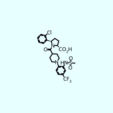 CS(=O)(=O)Nc1cc(C(F)(F)F)ccc1N1CCC(C(=O)N2[C@@H](c3ccccc3Cl)CC[C@H]2C(=O)O)CC1